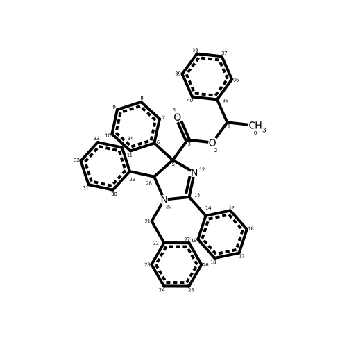 CC(OC(=O)C1(c2ccccc2)N=C(c2ccccc2)N(Cc2ccccc2)C1c1ccccc1)c1ccccc1